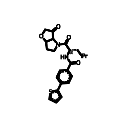 CC(C)C[C@H](NC(=O)c1ccc(-c2cccs2)cc1)C(=O)N1CCC2OCC(=O)C21